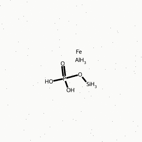 O=P(O)(O)O[SiH3].[AlH3].[Fe]